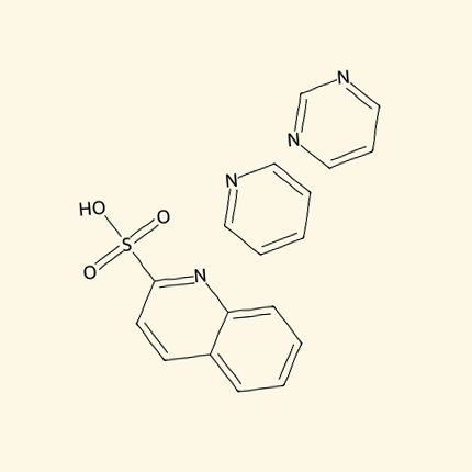 O=S(=O)(O)c1ccc2ccccc2n1.c1ccncc1.c1cncnc1